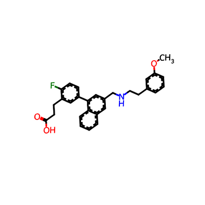 COc1cccc(CCNCc2cc(-c3ccc(F)c(CCC(=O)O)c3)c3ccccc3c2)c1